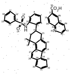 CC1(C)CC(c2ccccc2NS(=O)(=O)c2ccccc2)Cc2ccc3c(ccc4ccccc43)c21.O=C(O)c1ccc2ncccc2c1